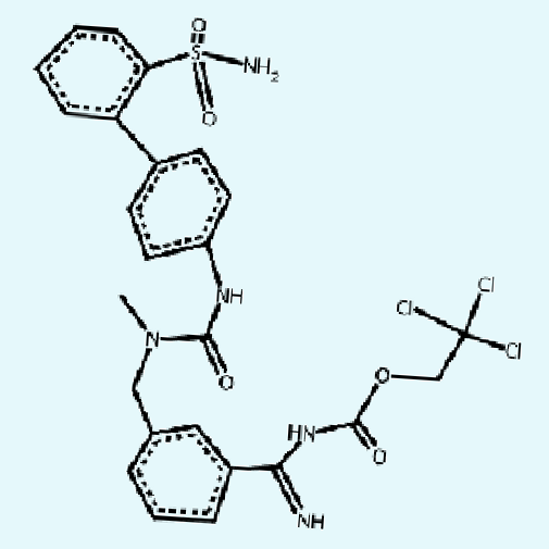 CN(Cc1cccc(C(=N)NC(=O)OCC(Cl)(Cl)Cl)c1)C(=O)Nc1ccc(-c2ccccc2S(N)(=O)=O)cc1